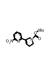 CC(C)(C)OC(=O)N1CCC=C(c2cccc([N+](=O)[O-])n2)C1